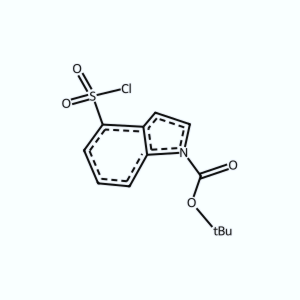 CC(C)(C)OC(=O)n1ccc2c(S(=O)(=O)Cl)cccc21